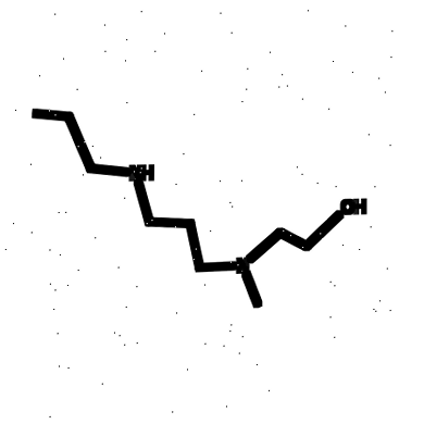 CCCNCCCN(C)CCO